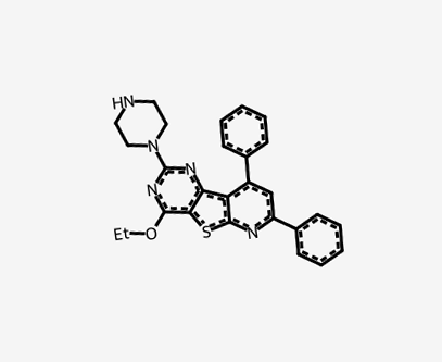 CCOc1nc(N2CCNCC2)nc2c1sc1nc(-c3ccccc3)cc(-c3ccccc3)c12